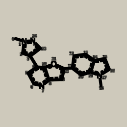 Cn1cc(-c2ccnc3cc(-c4ccc5ccn(C)c5c4)oc23)cn1